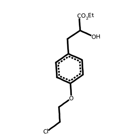 CCOC(=O)C(O)Cc1ccc(OCCCl)cc1